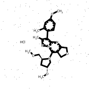 COC[C@@H]1C[C@@H](OC)CN1c1c2c(nc3c(-c4ccc(OC)cc4C)c(C)nn13)COC2.Cl